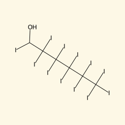 OC(I)C(I)(I)C(I)(I)C(I)(I)C(I)(I)C(I)(I)I